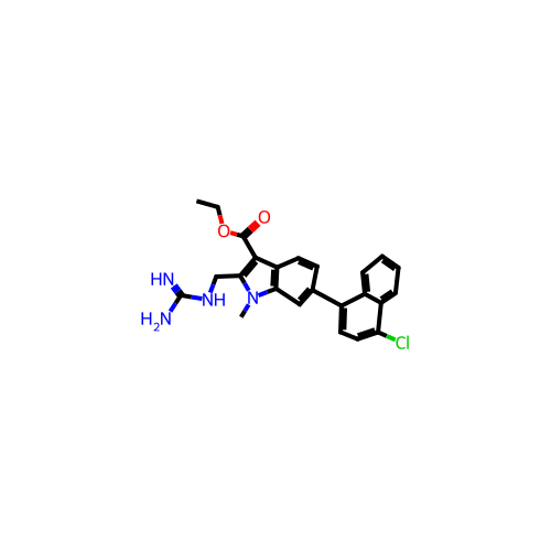 CCOC(=O)c1c(CNC(=N)N)n(C)c2cc(-c3ccc(Cl)c4ccccc34)ccc12